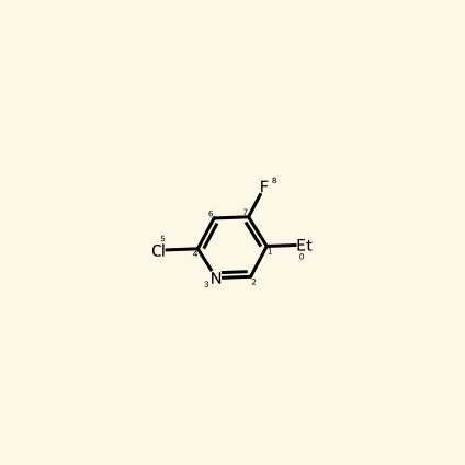 CCc1cnc(Cl)cc1F